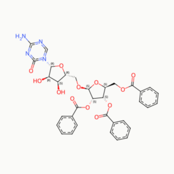 Nc1ncn([C@@H]2O[C@H](CO[C@H]3O[C@@H](COC(=O)c4ccccc4)[C@H](OC(=O)c4ccccc4)[C@@H]3OC(=O)c3ccccc3)[C@@H](O)[C@H]2O)c(=O)n1